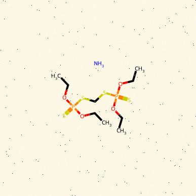 CCOP(=S)(OCC)SCSP(=S)(OCC)OCC.N